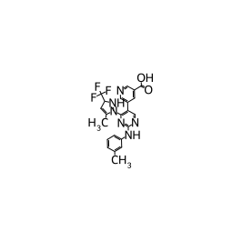 CC1=CC(C(F)(F)F)NN1c1nc(Nc2cccc(C)c2)ncc1-c1cncc(C(=O)O)c1